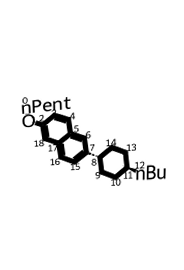 CCCCCOc1ccc2cc([C@H]3CC[C@H](CCCC)CC3)ccc2c1